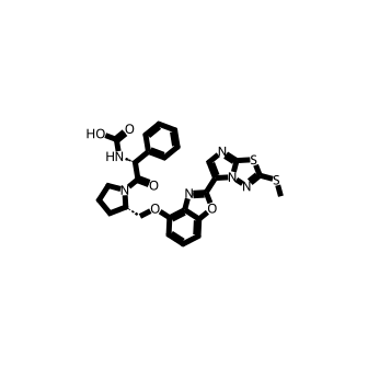 CSc1nn2c(-c3nc4c(OC[C@@H]5CCCN5C(=O)[C@H](NC(=O)O)c5ccccc5)cccc4o3)cnc2s1